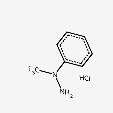 Cl.NN(c1ccccc1)C(F)(F)F